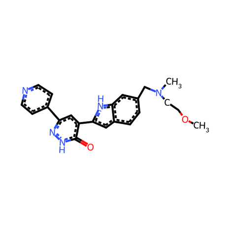 COCCN(C)Cc1ccc2cc(-c3cc(-c4ccncc4)n[nH]c3=O)[nH]c2c1